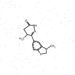 CC1CC(=O)NN=C1c1ccc2c(c1)N(C)CS2